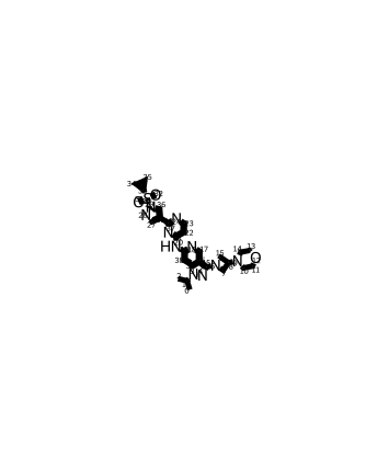 CC(C)n1nc(N2CC(N3CCOCC3)C2)c2cnc(Nc3ccnc(-c4cnn(S(=O)(=O)C5CC5)c4)n3)cc21